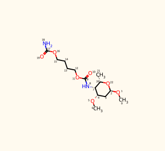 CO[C@H]1C[C@H](OC)[C@H](NC(=O)OCCCCOC(N)=O)[C@H](C)O1